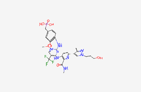 CNC(=O)c1nc(-c2cn(CCCO)nc2C)ccc1Nc1nc(Nc2ccc(CP(=O)(O)O)cc2OC)ncc1C(F)(F)F